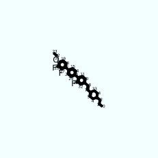 CCCC1CC=C(/C=C/c2ccc(-c3ccc(-c4ccc(OCC)c(F)c4F)cc3)c(F)c2)CC1